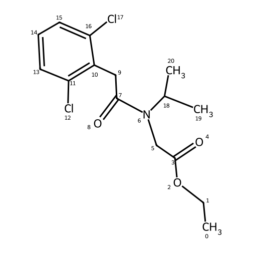 CCOC(=O)CN(C(=O)Cc1c(Cl)cccc1Cl)C(C)C